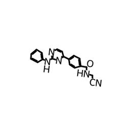 N#CCNC(=O)c1ccc(-c2ccnc(Nc3ccccc3)n2)cc1